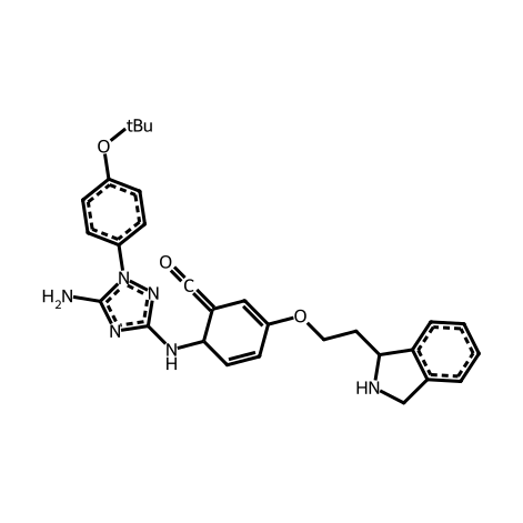 CC(C)(C)Oc1ccc(-n2nc(NC3C=CC(OCCC4NCc5ccccc54)=CC3=C=O)nc2N)cc1